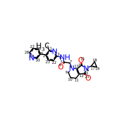 Cc1nc(NC(=O)CN2CCCC3=C2C(=O)N(C2CC2)C3=O)ccc1-c1cccnc1